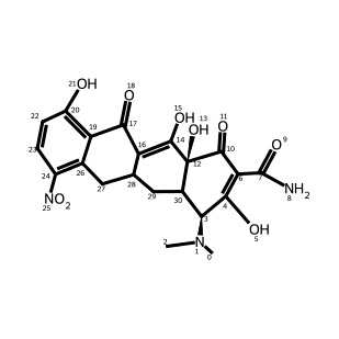 CN(C)[C@@H]1C(O)=C(C(N)=O)C(=O)[C@@]2(O)C(O)=C3C(=O)c4c(O)ccc([N+](=O)[O-])c4CC3CC12